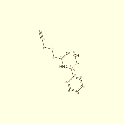 C#CCCCC(=O)N[C@H](CO)c1ccccc1